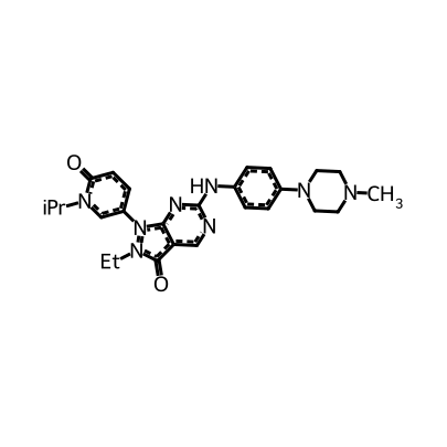 CCn1c(=O)c2cnc(Nc3ccc(N4CCN(C)CC4)cc3)nc2n1-c1ccc(=O)n(C(C)C)c1